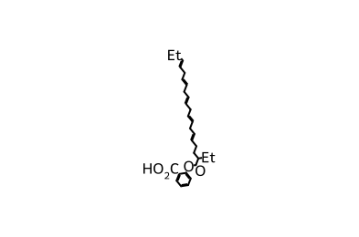 CCC=CCC=CCC=CCC=CCC=CCCC(CC)C(=O)Oc1ccccc1C(=O)O